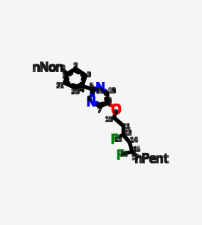 CCCCCCCCCc1ccc(-c2ncc(OCCC(F)CC(F)CCCCC)cn2)cc1